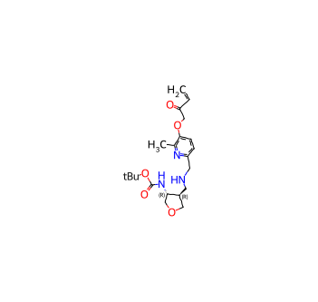 C=CC(=O)COc1ccc(CNC[C@H]2COC[C@@H]2NC(=O)OC(C)(C)C)nc1C